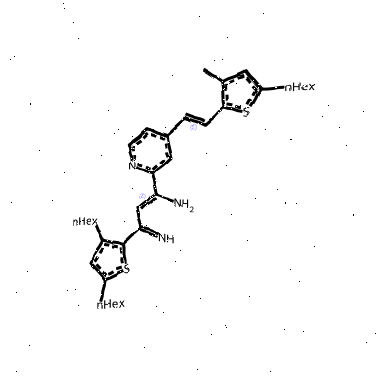 CCCCCCc1cc(C)c(/C=C/c2ccnc(/C(N)=C/C(=N)c3sc(CCCCCC)cc3CCCCCC)c2)s1